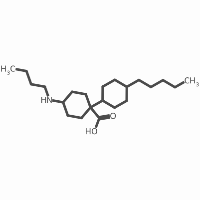 CCCCCC1CCC(C2(C(=O)O)CCC(NCCCC)CC2)CC1